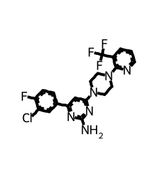 Nc1nc(-c2ccc(F)c(Cl)c2)cc(N2CCN(c3ncccc3C(F)(F)F)CC2)n1